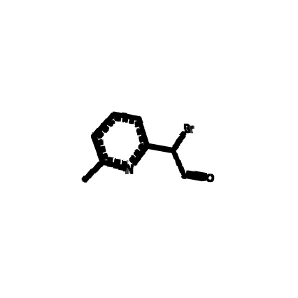 Cc1cccc(C(Br)C=O)n1